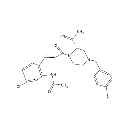 CC(=N)[C@@H]1CN(Cc2ccc(F)cc2)CCN1C(=O)/C=C/c1ccc(Cl)cc1NC(C)=O